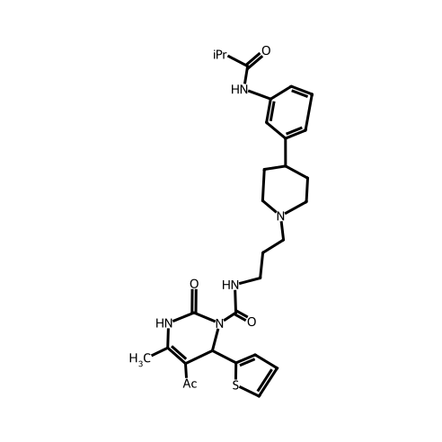 CC(=O)C1=C(C)NC(=O)N(C(=O)NCCCN2CCC(c3cccc(NC(=O)C(C)C)c3)CC2)C1c1cccs1